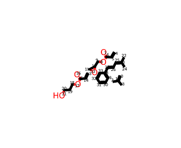 C=C(C)C.C=CC(=O)OCC1CO1.C=CC(=O)OCCCO.CC(C)=CC=Cc1ccccc1